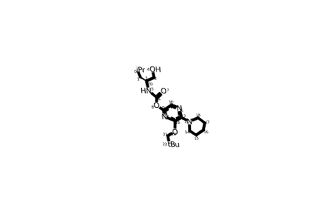 CC(C)C[C@@H](CO)NC(=O)Oc1cnc(N2CCCCC2)c(OCC(C)(C)C)n1